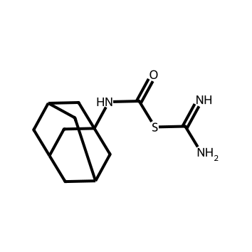 N=C(N)SC(=O)NC12CC3CC(CC(C3)C1)C2